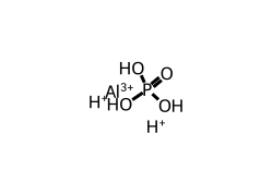 O=P(O)(O)O.[Al+3].[H+].[H+]